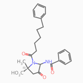 C[C@@]1(C(=O)O)CC(=O)C(NC(=O)c2ccccc2)N1C(=O)CCCCCc1ccccc1